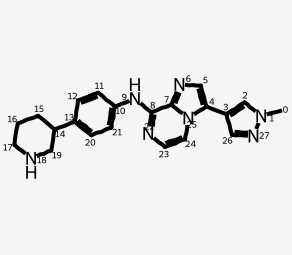 Cn1cc(-c2cnc3c(Nc4ccc(C5CCCNC5)cc4)nccn23)cn1